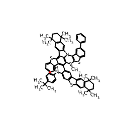 CB1c2sc3ccc(-c4ccccc4)cc3c2-n2c3cc4c(cc3c3c5sc6ccccc6c5c(-c5cc6c(cc5Nc5ccc(C(C)(C)C)cc5)sc5cc7c(cc56)C(C)(C)CCC7(C)C)c1c32)C(C)(C)CCC4(C)C